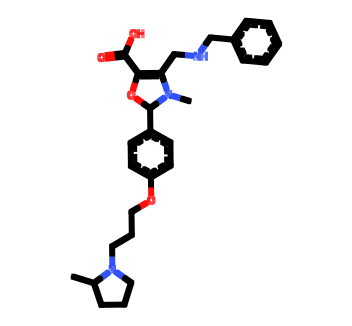 CC1CCCN1CCCOc1ccc(C2OC(C(=O)O)=C(CNCc3ccccc3)N2C)cc1